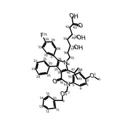 COc1ccc(N(COCc2ccccc2)C(=O)c2c(-c3ccccc3)c(-c3ccc(F)cc3)n(CC[C@@H](O)C[C@@H](O)CC(=O)O)c2C(C)C)cc1